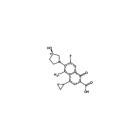 Cc1c(N2CC[C@@H](O)C2)c(F)cn2c(=O)c(C(=O)O)cc(C3CC3)c12